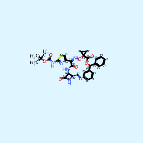 CC(C)(C)OC(=O)Nc1nc(/C(=N/OC2(C(=O)OC(c3ccccc3)c3ccccc3)CC2)C(=O)N[C@@H]2C(=O)N[C@@H]2CN)cs1